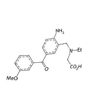 CCN(CC(=O)O)Cc1cc(C(=O)c2cccc(OC)c2)ccc1N